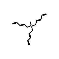 C=CC=CC[Si](C)(CC=CC=C)CC=CC=C